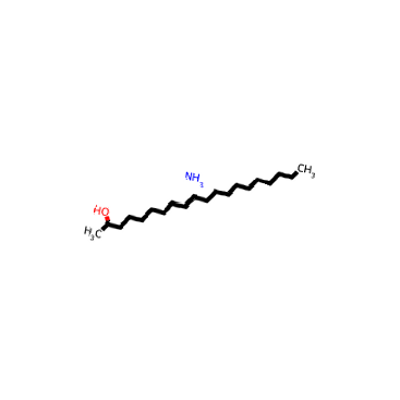 CCCCCCCCCCCCCCCCCCC(C)O.N